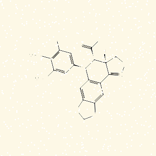 CCC(=O)[C@@H]1[C@H](c2cc(C=O)c(OC)c(OC)c2)c2cc3c(cc2C2=NOC[C@H]21)OCO3